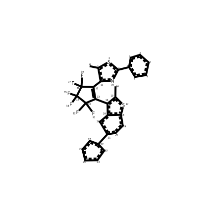 Cc1sc(-c2ccccc2)nc1C1=C(c2c(C)sc3ccc(-c4ccccc4)cc23)C(F)(F)C(F)(F)C1(F)F